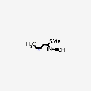 C#CNC(C/C=C\C)SC